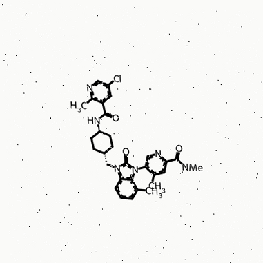 CNC(=O)c1cc(C)c(-n2c(=O)n(C[C@H]3CC[C@H](NC(=O)c4cc(Cl)cnc4C)CC3)c3cccc(C)c32)cn1